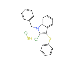 Clc1c(Sc2ccccc2)c2ccccc2n1Cc1ccccc1.SCl